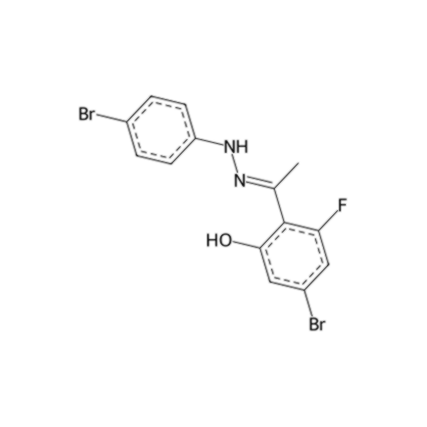 C/C(=N\Nc1ccc(Br)cc1)c1c(O)cc(Br)cc1F